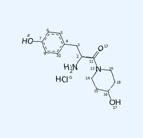 Cl.NC(Cc1ccc(O)cc1)C(=O)N1CCC(O)CC1